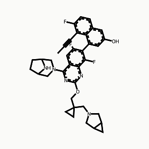 CC#Cc1c(F)ccc2cc(O)cc(-c3c(F)cc4c(N5CC6CCC(C5)N6)nc(OCC5(CN6CC7CC7C6)CC5)nc4c3F)c12